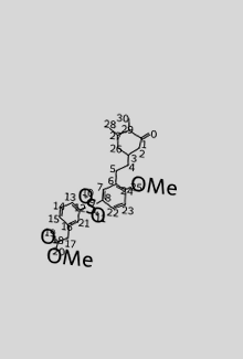 C=C1CC(CCc2cc(S(=O)(=O)c3cccc(CC(=O)OC)c3)ccc2OC)CC(C)C1C